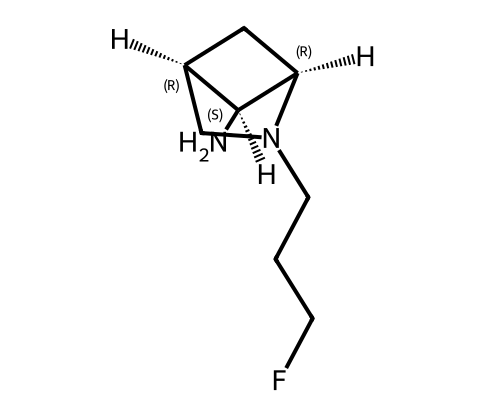 N[C@H]1[C@@H]2C[C@H]1N(CCCF)C2